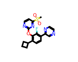 CS(=O)(=O)c1ccnc(Oc2c(C3CCC3)ccc(-c3cnccn3)c2F)n1